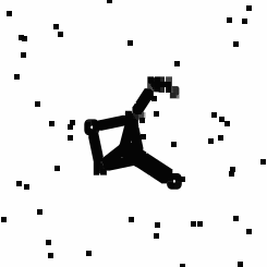 N[N+]12ON(O1)C2=O